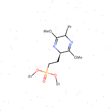 CCOP(=O)(CC[C@H]1N=C(OC)C(C(C)C)N=C1OC)OCC